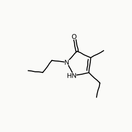 CCCn1[nH]c(CC)c(C)c1=O